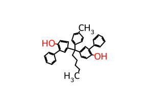 CCCCCC(c1ccc(C)cc1)(c1ccc(O)c(-c2ccccc2)c1)c1ccc(O)c(-c2ccccc2)c1